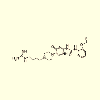 N=C(N)NCCCCN1CCN(c2c[nH]c(NC(=O)Nc3ccccc3OCF)nc2=O)CC1